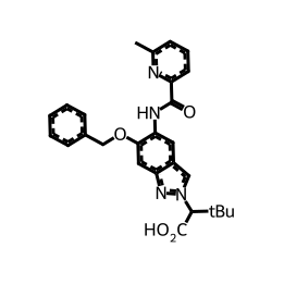 Cc1cccc(C(=O)Nc2cc3cn(C(C(=O)O)C(C)(C)C)nc3cc2OCc2ccccc2)n1